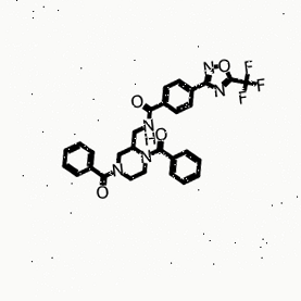 O=C(NCC1CN(C(=O)c2ccccc2)CCN1C(=O)c1ccccc1)c1ccc(-c2noc(C(F)(F)F)n2)cc1